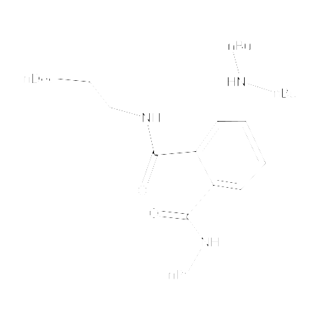 CCCCCCCCCCCCNC(=O)c1ccccc1C(=O)NCCC.CCCCNCCCC